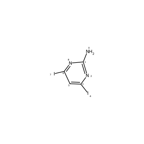 Nc1nc(I)cc(I)n1